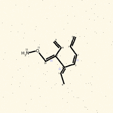 C=C\C=C/C(=C\C)C(/C=C)=C/ON